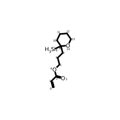 C=CC(=O)OCCCC1([SiH3])CCCCO1